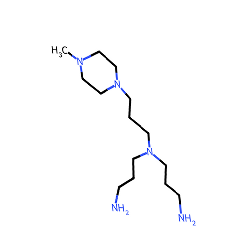 CN1CCN(CCCN(CCCN)CCCN)CC1